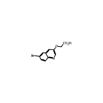 CCOC(=O)COc1cnc2ccc(Br)cc2c1